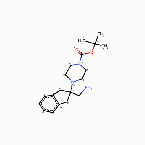 CC(C)(C)OC(=O)N1CCN(C2(CN)Cc3ccccc3C2)CC1